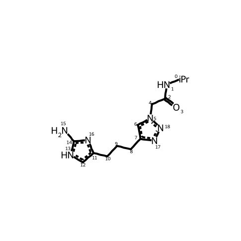 CC(C)NC(=O)Cn1cc(CCCc2c[nH]c(N)n2)nn1